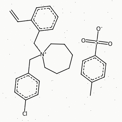 C=Cc1ccccc1C[N+]1(Cc2ccc(Cl)cc2)CCCCCC1.Cc1ccc(S(=O)(=O)[O-])cc1